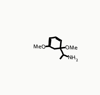 COC1=CC=CC(OC)(C(C)N)C1